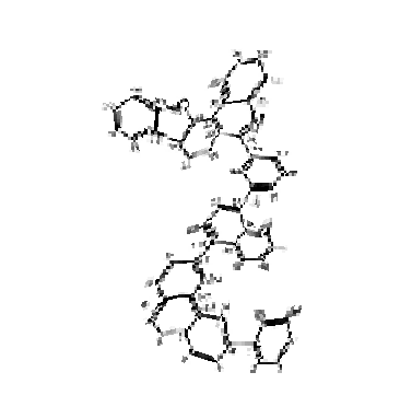 c1ccc(-c2ccc3ccc4ccc(-c5ccc(-c6cccc(-c7nc8ccccc8c8c7ccc7c9ccccc9oc78)c6)c6ncccc56)nc4c3n2)cc1